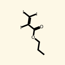 CCCOC(=O)C(I)=C(I)I